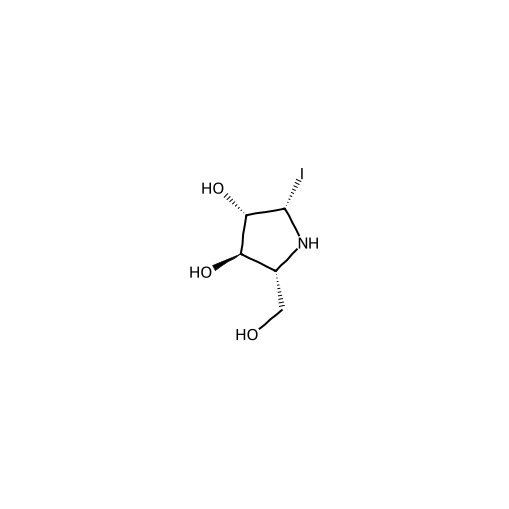 OC[C@H]1N[C@@H](I)[C@@H](O)[C@@H]1O